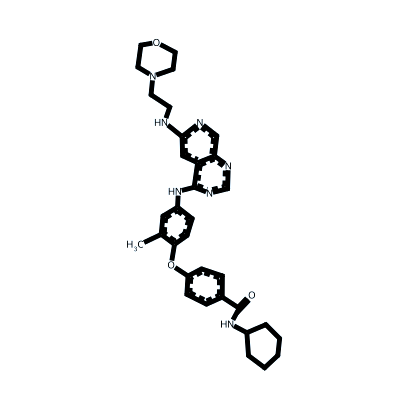 Cc1cc(Nc2ncnc3cnc(NCCN4CCOCC4)cc23)ccc1Oc1ccc(C(=O)NC2CCCCC2)cc1